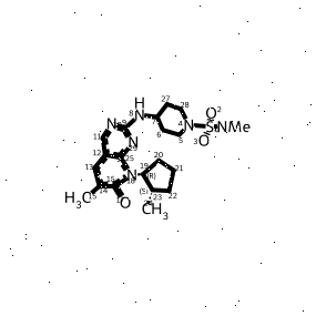 CNS(=O)(=O)N1CCC(Nc2ncc3cc(C)c(=O)n([C@@H]4CCC[C@@H]4C)c3n2)CC1